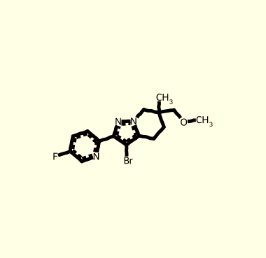 COCC1(C)CCc2c(Br)c(-c3ccc(F)cn3)nn2C1